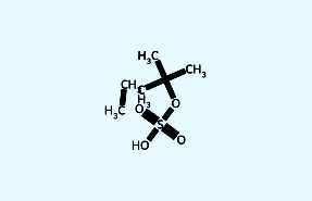 CC.CC(C)(C)OS(=O)(=O)O